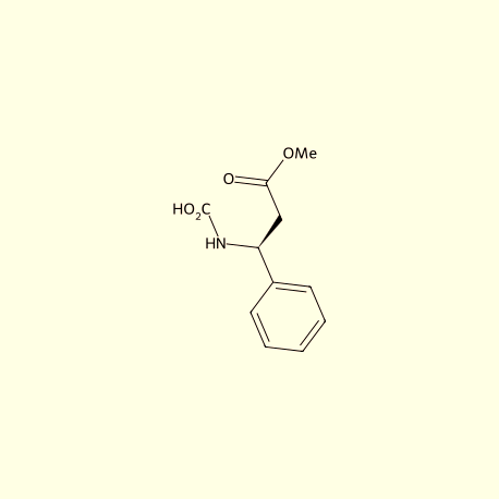 COC(=O)C[C@H](NC(=O)O)c1ccccc1